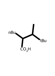 CCCCC(C(=O)O)C(C)C(C)(C)C